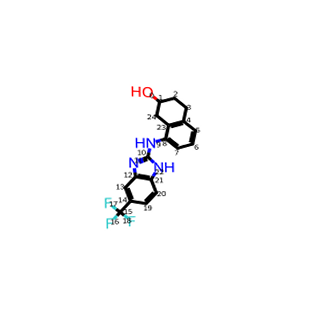 OC1CCc2cccc(Nc3nc4cc(C(F)(F)F)ccc4[nH]3)c2C1